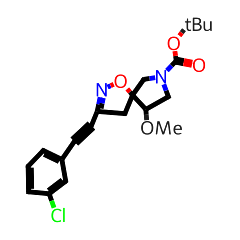 COC1CN(C(=O)OC(C)(C)C)CC12CC(C#Cc1cccc(Cl)c1)=NO2